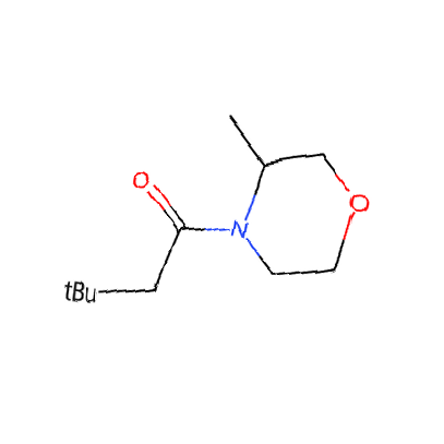 CC1COCCN1C(=O)CC(C)(C)C